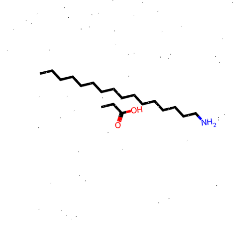 CCC(=O)O.CCCCCCCCCCCCCCCCN